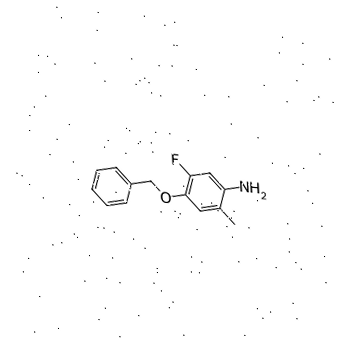 Cc1cc(OCc2ccccc2)c(F)cc1N